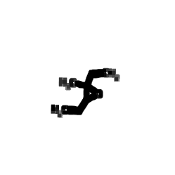 C=CC1OC1(C)C=C